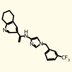 C=C(Nc1cn(Cc2cccc(C(F)(F)F)c2)cn1)c1cnc2c(c1)CCCC2